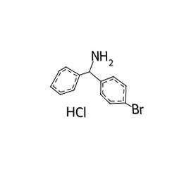 Cl.NC(c1ccccc1)c1ccc(Br)cc1